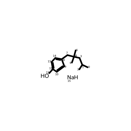 CC(C)CC(C)(C)Cc1ccc(O)cc1.[NaH]